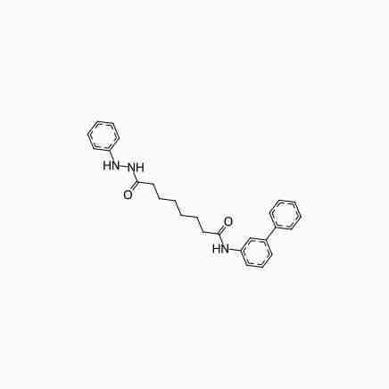 O=C(CCCCCCC(=O)Nc1cccc(-c2ccccc2)c1)NNc1ccccc1